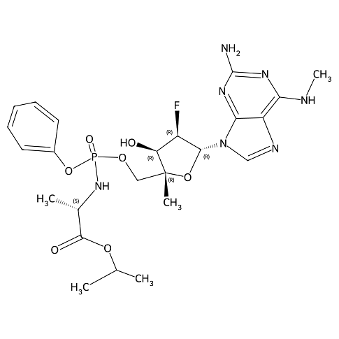 CNc1nc(N)nc2c1ncn2[C@@H]1O[C@](C)(COP(=O)(N[C@@H](C)C(=O)OC(C)C)Oc2ccccc2)[C@@H](O)[C@H]1F